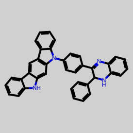 c1ccc(C2Nc3ccccc3N=C2c2ccc(-n3c4ccccc4c4cc5c(cc43)[nH]c3ccccc35)cc2)cc1